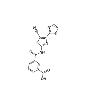 N#Cc1sc(NC(=O)c2cccc(C(=O)O)c2)nc1-c1nccs1